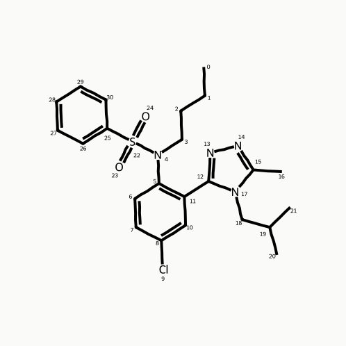 CCCCN(c1ccc(Cl)cc1-c1nnc(C)n1CC(C)C)S(=O)(=O)c1ccccc1